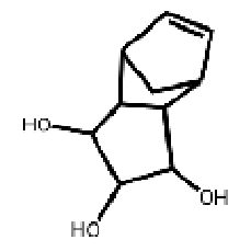 OC1C(O)C2C3C=CC(C3)C2C1O